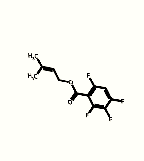 CC(C)=CCOC(=O)c1c(F)cc(F)c(F)c1F